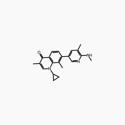 CNc1ncc(-c2ccc3c(=O)c(C)cn(C4CC4)c3c2C)cc1C